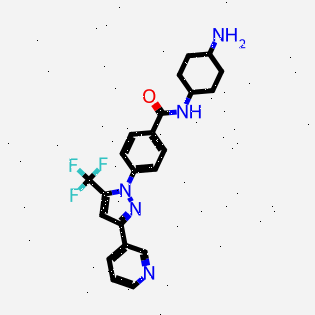 NC1CCC(NC(=O)c2ccc(-n3nc(-c4cccnc4)cc3C(F)(F)F)cc2)CC1